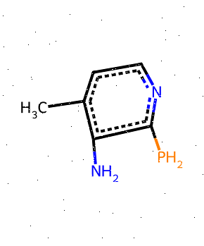 Cc1ccnc(P)c1N